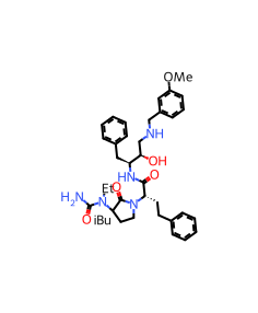 CC[C@H](C)C1(N(CC)C(N)=O)CCN([C@@H](CCc2ccccc2)C(=O)N[C@@H](Cc2ccccc2)[C@H](O)CNCc2cccc(OC)c2)C1=O